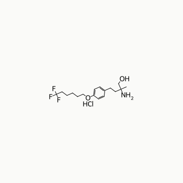 CC(N)(CO)CCc1ccc(OCCCCCC(F)(F)F)cc1.Cl